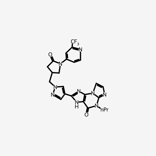 CCCn1c(=O)c2[nH]c(-c3cnn(CC4CC(=O)N(c5ccnc(C(F)(F)F)c5)C4)c3)nc2n2ccnc12